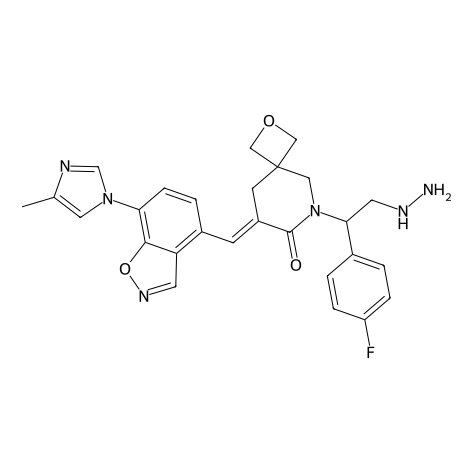 Cc1cn(-c2ccc(/C=C3\CC4(COC4)CN(C(CNN)c4ccc(F)cc4)C3=O)c3cnoc23)cn1